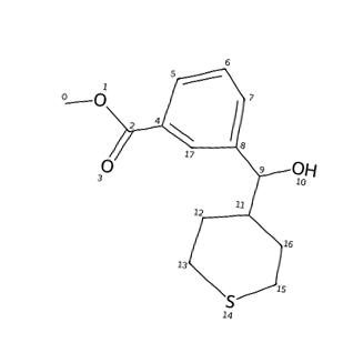 COC(=O)c1cccc(C(O)C2CCSCC2)c1